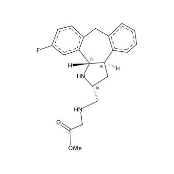 COC(=O)CNC[C@H]1C[C@@H]2c3ccccc3Cc3ccc(F)cc3[C@H]2N1